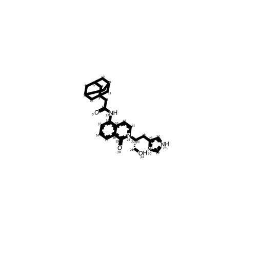 O=C(CC12CC3CC(CC(C3)C1)C2)Nc1cccc2c(=O)n([C@@H](CO)Cc3c[nH]cn3)ccc12